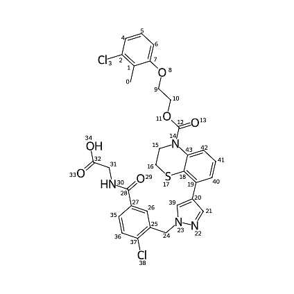 Cc1c(Cl)cccc1OCCOC(=O)N1CCSc2c(-c3cnn(Cc4cc(C(=O)NCC(=O)O)ccc4Cl)c3)cccc21